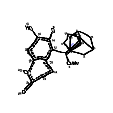 CO/C(=C1\C2CC3CC4(C2)CC1CC34)c1c(Cl)c(O)cc2oc(=O)ccc12